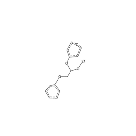 [CH2]COC(COc1ccccc1)Oc1ccccc1